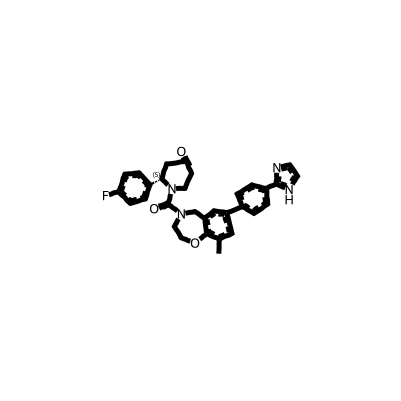 Cc1cc(-c2ccc(-c3ncc[nH]3)cc2)cc2c1OCCN(C(=O)N1CCC(=O)C[C@H]1c1ccc(F)cc1)C2